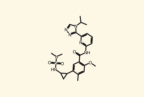 COc1cc(C)c(C2CC2NS(=O)(=O)N(C)C)cc1C(=O)Nc1cccc(-c2nncn2C(C)C)n1